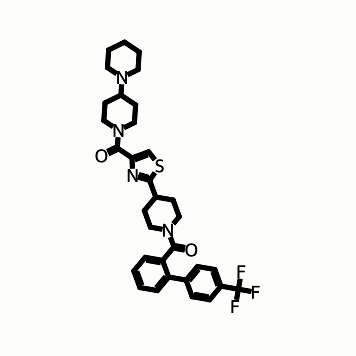 O=C(c1csc(C2CCN(C(=O)c3ccccc3-c3ccc(C(F)(F)F)cc3)CC2)n1)N1CCC(N2CCCCC2)CC1